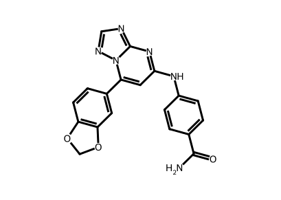 NC(=O)c1ccc(Nc2cc(-c3ccc4c(c3)OCO4)n3ncnc3n2)cc1